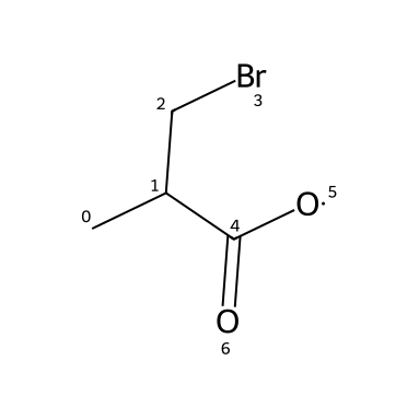 CC(CBr)C([O])=O